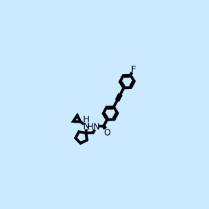 O=C(NCC1(NC2CC2)CCCC1)c1ccc(C#Cc2ccc(F)cc2)cc1